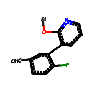 CCOc1ncccc1-c1cc(C=O)ccc1F